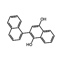 Oc1cc(-c2cccc3ccccc23)c(O)c2ccccc12